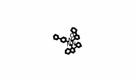 c1ccc(-c2ccc(-c3nc(-c4c(-c5ccccc5)ccc5ccccc45)nc(-c4cccc5c4oc4ccccc45)n3)cc2)cc1